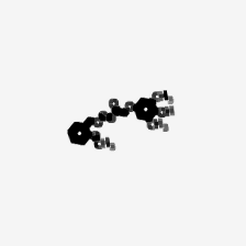 COc1ccccc1COOOC(=O)COc1cc(C)c(O)c(C)c1